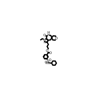 CCn1nc(CCCOC(=O)c2cccc(S(=O)(=O)NC3CCCCC3)c2)c2c1C(=O)NCC1(CCOCC1)C2